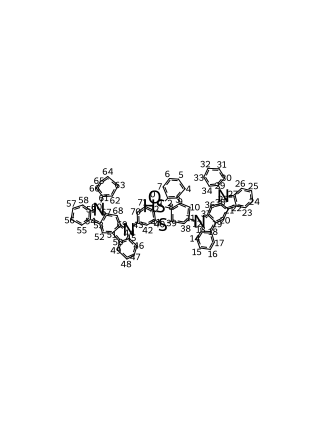 O=[SH]1(c2ccccc2)c2ccc(-n3c4ccccc4c4cc5c6ccccc6n(-c6ccccc6)c5cc43)cc2Sc2cc(-n3c4ccccc4c4cc5c6ccccc6n(-c6ccccc6)c5cc43)ccc21